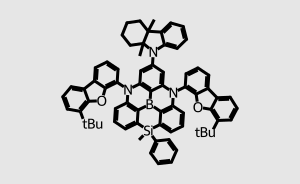 CC(C)(C)c1cccc2c1oc1c(N3c4cc(N5c6ccccc6C6(C)CCCCC56C)cc5c4B4c6c3cccc6[Si](C)(c3ccccc3)c3cccc(c34)N5c3cccc4c3oc3c(C(C)(C)C)cccc34)cccc12